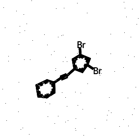 Brc1cc(Br)cc(C#Cc2ccccc2)c1